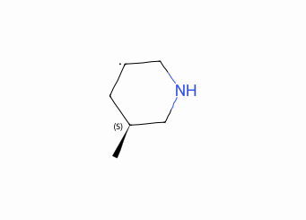 C[C@H]1C[CH]CNC1